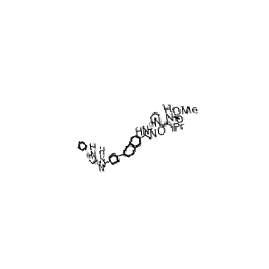 COC(=O)N[C@H](C(=O)N1CCC[C@H]1C1=NCC(c2ccc3cc(-c4ccc(-c5cnc([C@@H]6CC[C@H](c7ccccc7)N6)[nH]5)cc4)ccc3c2)N1)C(C)C